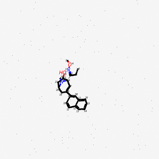 CCC(=NOC)[C@@]12C=C(c3ccc4ccccc4c3)CC(CC1O)N2C